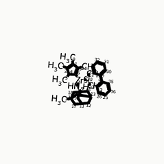 CC1=C(C)C(C)[C]([Zr]([NH]C23CC4CC(CC(C)(C4)C2)C3)[SiH](C)C)=C1C.c1ccc(-c2ccccc2)cc1